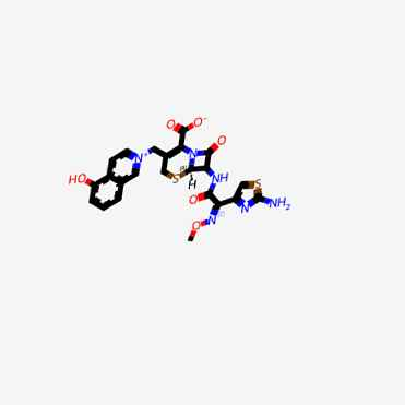 CO/N=C(\C(=O)NC1C(=O)N2C(C(=O)[O-])=C(C[n+]3ccc4c(O)cccc4c3)CS[C@H]12)c1csc(N)n1